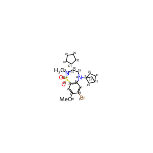 COc1cc2c(cc1Br)N(C13CCC(C1)C3)C[C@@H](C1CCCC1)N(C)S2(=O)=O